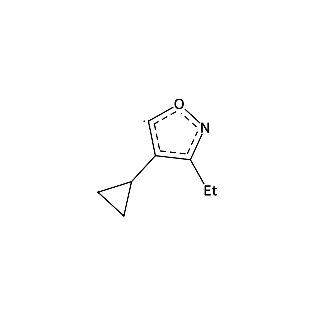 CCc1no[c]c1C1CC1